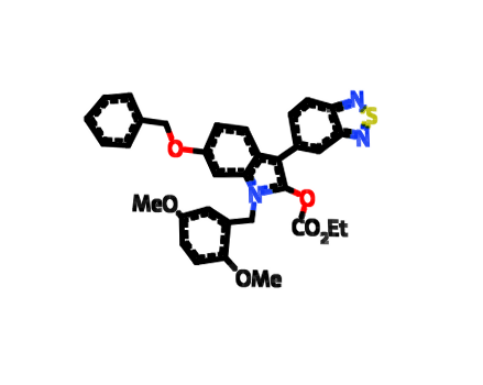 CCOC(=O)Oc1c(-c2ccc3nsnc3c2)c2ccc(OCc3ccccc3)cc2n1Cc1cc(OC)ccc1OC